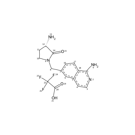 Nc1nccc2cc(CN3CC[C@H](N)C3=O)ccc12.O=C(O)C(F)(F)F